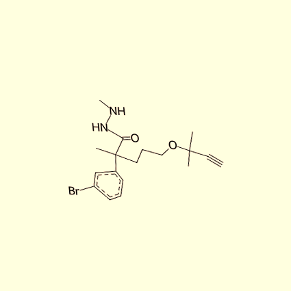 C#CC(C)(C)OCCCC(C)(C(=O)NNC)c1cccc(Br)c1